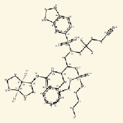 CCCCOP(=O)(OCCCC)OC(CN(CC(C)(C)CCC#N)S(=O)(=O)c1ccc2c(c1)OCO2)C(Cc1ccccc1)NC(=O)O[C@H]1CO[C@H]2OCC[C@H]21